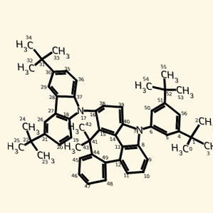 CC(C)(C)c1cc(-n2c3cccc4c3c3c(c(-n5c6ccc(C(C)(C)C)cc6c6cc(C(C)(C)C)ccc65)ccc32)C(C)(C)c2ccccc2-4)cc(C(C)(C)C)c1